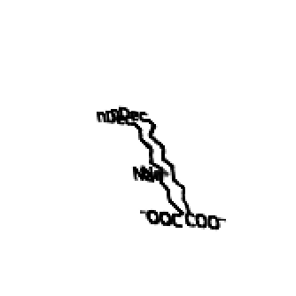 CCCCCCCCCCCCCCCCCCCC(=O)[O-].CCCCCCCCCCCCCCCCCCCC(=O)[O-].[Na+].[Na+]